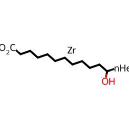 CCCCCCC(O)CCCCCCCCCCC(=O)O.[Zr]